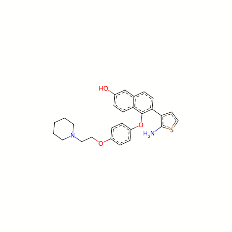 Nc1sccc1-c1ccc2cc(O)ccc2c1Oc1ccc(OCCN2CCCCC2)cc1